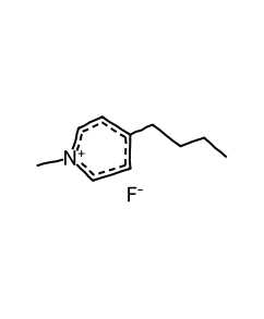 CCCCc1cc[n+](C)cc1.[F-]